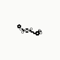 O=C(CCCc1ccc2c(c1)OCO2)N1CCN(C(=O)COC2CCCC2)CC1